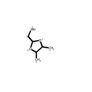 CC1OC(CC(C)(C)C)OC1C